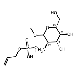 C=CCOP(=O)(O)O.COC1O[C@H](CO)[C@@H](O)[C@H](O)[C@H]1N